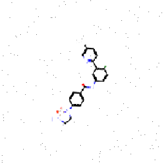 N#Cc1ccc(-c2cc(NC(=O)c3ccc(N4CCNS4(=O)=O)cc3)ccc2Cl)nc1